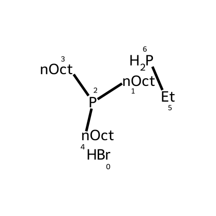 Br.CCCCCCCCP(CCCCCCCC)CCCCCCCC.CCP